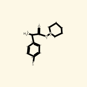 CC(C(=O)ON1CCCCC1)c1ccc(F)cc1